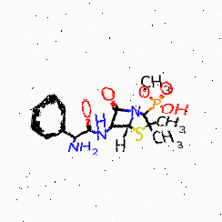 COP(=O)(O)C1N2C(=O)C(NC(=O)C(N)c3ccccc3)[C@H]2SC1(C)C